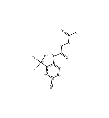 CC(=O)CCC(=O)Oc1ccc(Cl)cc1C(F)(F)F